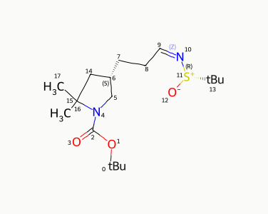 CC(C)(C)OC(=O)N1C[C@@H](CC/C=N\[S@@+]([O-])C(C)(C)C)CC1(C)C